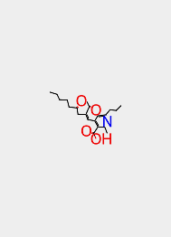 CCCCCC(=O)CC(=Cc1cc(CCC)nc(C)c1C(=O)O)C(C)=O